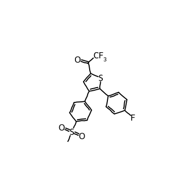 CS(=O)(=O)c1ccc(-c2cc(C(=O)C(F)(F)F)sc2-c2ccc(F)cc2)cc1